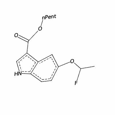 CCCCCOC(=O)c1c[nH]c2ccc(OC(C)F)cc12